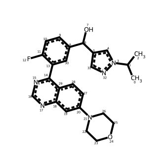 CC(C)n1cc(C(O)c2ccc(F)c(-c3ncnc4cc(N5CCOCC5)ccc34)c2)cn1